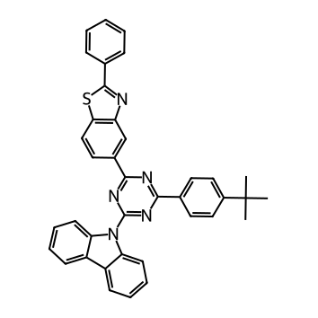 CC(C)(C)c1ccc(-c2nc(-c3ccc4sc(-c5ccccc5)nc4c3)nc(-n3c4ccccc4c4ccccc43)n2)cc1